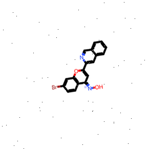 O/N=c1\cc(-c2cc3ccccc3cn2)oc2cc(Br)ccc12